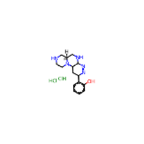 Cl.Cl.Oc1ccccc1C1CC2C(N=N1)NC[C@H]1CNCCN21